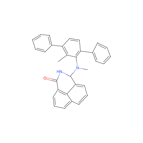 Cc1c(-c2ccccc2)ccc(-c2ccccc2)c1N(C)C1NC(=O)c2cccc3cccc1c23